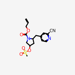 C=CCOC(=O)N1CC(OS(C)(=O)=O)CC1Cc1ccnc(C#N)c1